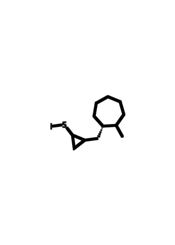 CC1CCCCC[C@H]1CC1CC1SI